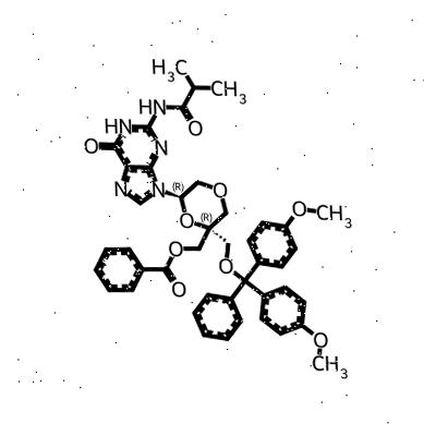 COc1ccc(C(OC[C@@]2(COC(=O)c3ccccc3)COC[C@H](n3cnc4c(=O)[nH]c(NC(=O)C(C)C)nc43)O2)(c2ccccc2)c2ccc(OC)cc2)cc1